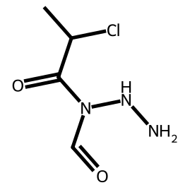 CC(Cl)C(=O)N(C=O)NN